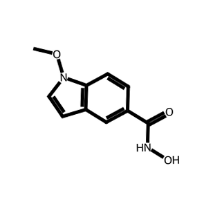 COn1ccc2cc(C(=O)NO)ccc21